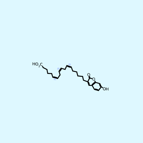 O=C(O)CCCC/C=C\C/C=C\C/C=C\CCCCCc1cc2ccc(O)cc2oc1=O